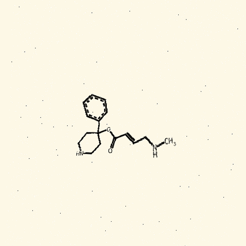 CNC/C=C/C(=O)OC1(c2ccccc2)CCNCC1